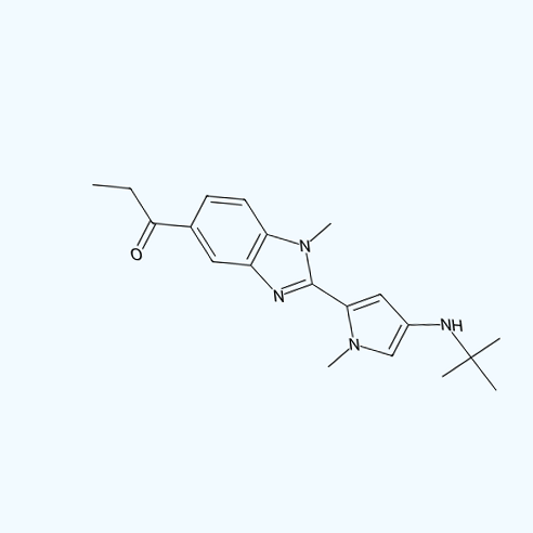 CCC(=O)c1ccc2c(c1)nc(-c1cc(NC(C)(C)C)cn1C)n2C